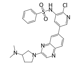 CN(C)C1CCN(c2cnc3ccc(-c4cnc(Cl)c(NS(=O)(=O)c5ccccc5)c4)cc3n2)C1